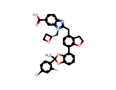 CC1(c2ccc(Cl)cc2F)Oc2cccc(-c3ccc(Cc4nc5ccc(C(=O)O)cc5n4C[C@@H]4CCO4)c4c3OCC4)c2O1